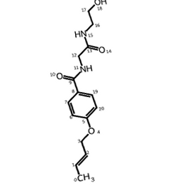 C/C=C/COc1ccc(C(=O)NCC(=O)NCCO)cc1